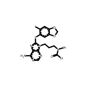 [CH2]CC(=O)N(CCCn1c(Sc2cc3c(cc2I)OCO3)nc2c(N)ncnc21)C(C)C